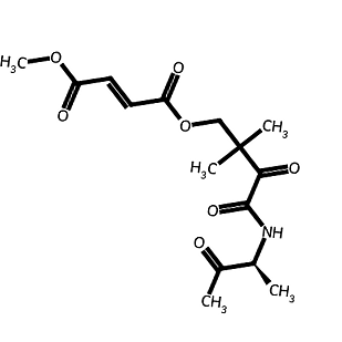 COC(=O)/C=C/C(=O)OCC(C)(C)C(=O)C(=O)N[C@@H](C)C(C)=O